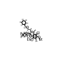 CCOc1cc(C(C)N(CCOCc2ccccc2)C(=O)NC2(C(=O)O)CC(F)(F)C2)c(Cl)c(OCC)c1C